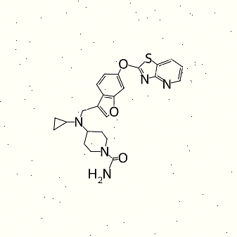 NC(=O)N1CCC(N(Cc2coc3cc(Oc4nc5ncccc5s4)ccc23)C2CC2)CC1